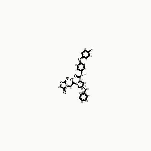 O=C(Nc1ccc(Oc2ccc(F)cc2)cc1)[C@@H]1C[C@@H](Cc2ccccc2)CN1C(=O)CN1C(=O)CSC1=S